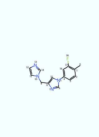 Cc1ccc(-n2cnc(Cn3ccnc3)c2)cc1F